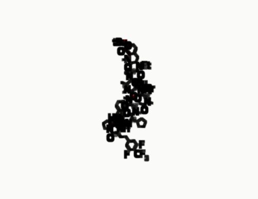 CC[C@H](C)[C@H](NC(=O)[C@H](CC(C)C)N(C)C(=O)C[C@@H](C(=O)N(C)C)N(C)C(=O)[C@H](C1CCCC1)N(C)C(=O)C1(NC(=O)[C@@H]2CCCN2C(=O)[C@H](CCc2cc(F)c(C(F)(F)F)c(F)c2)NC(=O)OCc2ccccc2)CCCC1)C(=O)N(C)[C@@H](C)C(=O)N1CC[C@H]1C(=O)N(CC)C(Cc1ccc(C)cc1)C(=O)N(C)CC(=O)OC(C)(C)C